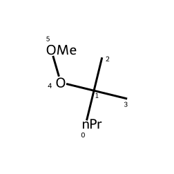 CCCC(C)(C)OOC